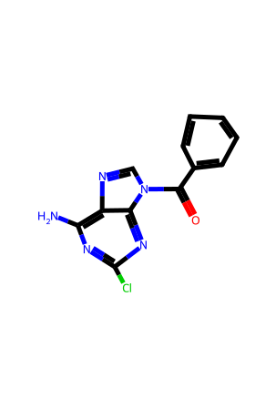 Nc1nc(Cl)nc2c1ncn2C(=O)c1ccccc1